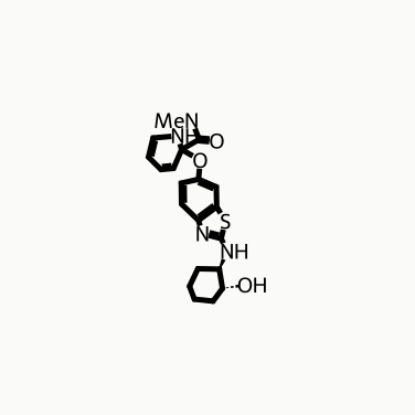 CNC(=O)C1(Oc2ccc3nc(N[C@@H]4CCCC[C@H]4O)sc3c2)C=CC=CN1